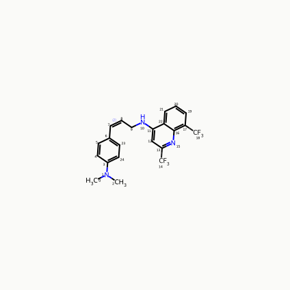 CN(C)c1ccc(/C=C\CNc2cc(C(F)(F)F)nc3c(C(F)(F)F)cccc23)cc1